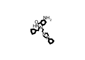 Nc1ccc2c(c1)C(=O)NC(Cc1ccccc1)N2CCN1CCN(c2ccccc2)CC1